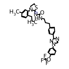 CCCc1ccc(C)cc1N1CCS/C1=N\C(=O)NCCCc1ccc(-c2ncn(-c3ccc(OC(F)(F)F)cc3)n2)cc1